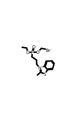 CCOP(=O)(CCC[n+]1c(C)sc2ccccc21)OCC.[Br-]